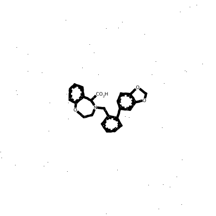 O=C(O)C1c2ccccc2OCCN1Cc1ccccc1-c1ccc2c(c1)OCO2